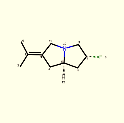 CC(C)=C1C[C@@H]2C[C@@H](F)CN2C1